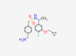 CC(NS(=O)(=O)Cc1ccc(CN)cc1)c1ccc(F)c(OCC2CC2)c1